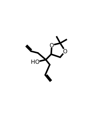 C=CCC(O)(CC=C)C1COC(C)(C)O1